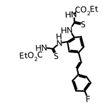 CCOC(=O)NC(=S)Nc1ccc(C=Cc2ccc(F)cc2)cc1NC(=S)NC(=O)OCC